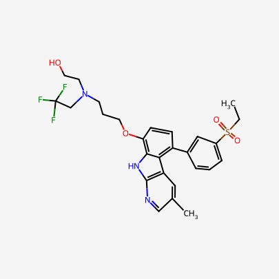 CCS(=O)(=O)c1cccc(-c2ccc(OCCCN(CCO)CC(F)(F)F)c3[nH]c4ncc(C)cc4c23)c1